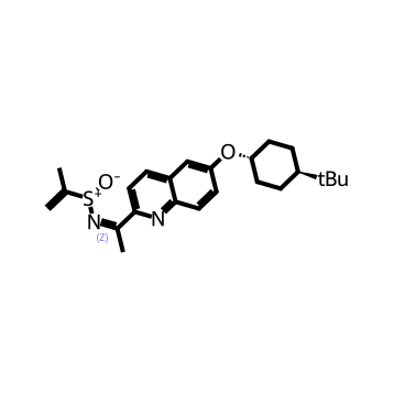 C=C(C)[S+]([O-])/N=C(/C)c1ccc2cc(O[C@H]3CC[C@H](C(C)(C)C)CC3)ccc2n1